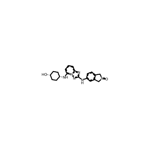 O=[N+]1Cc2ccc(Nc3nc4cccc(N[C@H]5CC[C@@H](O)CC5)n4n3)cc2C1